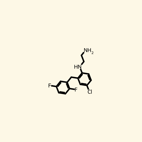 NCCNc1ccc(Cl)cc1Cc1cc(F)ccc1F